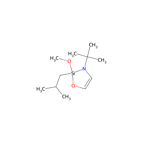 CO[Si]1(CC(C)C)OC=CN1C(C)(C)C